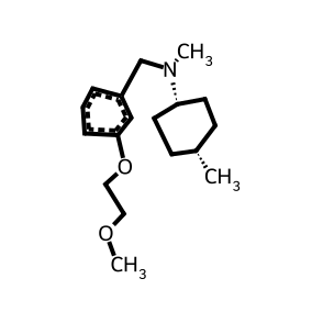 COCCOc1cccc(CN(C)[C@H]2CC[C@@H](C)CC2)c1